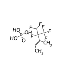 C/C=C(\C)C(F)(C(F)F)C(F)(F)F.O=P(O)(O)O